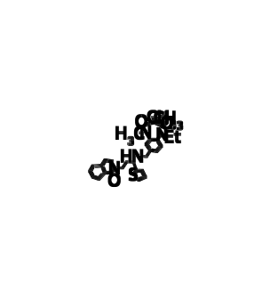 CCN1C(=O)C(C)(C)C(=O)N(C)c2cc(CNC(CCn3ccc4ccccc4c3=O)c3cccs3)ccc21